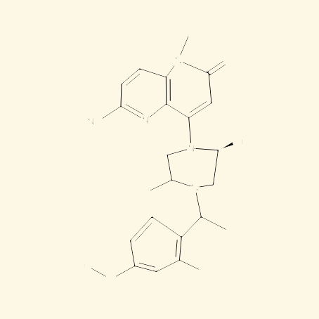 CCC1CN(c2cc(=O)n(C)c3ccc(C#N)nc23)[C@@H](CC)CN1C(C)c1ccc(OC(F)(F)F)cc1F